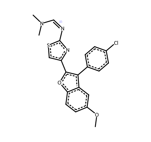 COc1ccc2oc(-c3csc(/N=C\N(C)C)n3)c(-c3ccc(Cl)cc3)c2c1